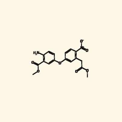 COC(=O)Cc1cc(Oc2ccc(N)c(C(=O)OC)c2)ccc1[N+](=O)[O-]